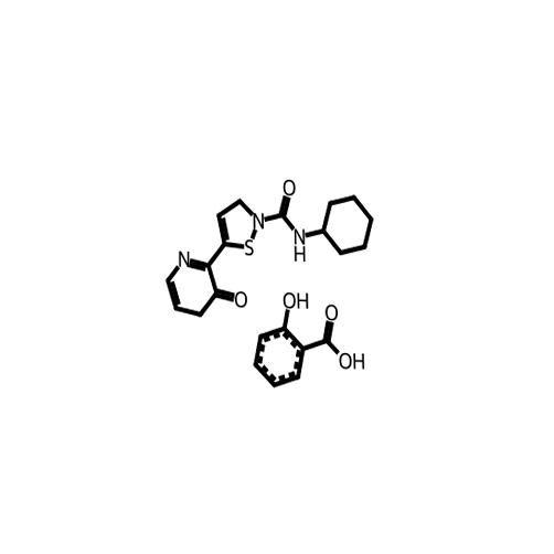 O=C(O)c1ccccc1O.O=C1CC=CN=C1C1=CCN(C(=O)NC2CCCCC2)S1